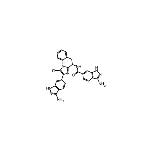 Nc1n[nH]c2cc(C(=O)NC(Cc3ccccc3)c3nc(-c4ccc5c(N)n[nH]c5c4)c(Cl)[nH]3)ccc12